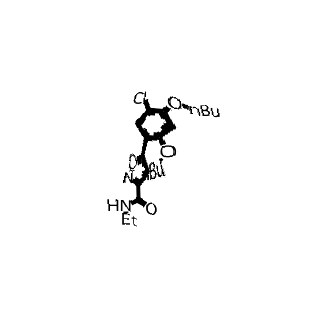 CCCCOc1cc(OCCCC)c(-c2cc(C(=O)NCC)no2)cc1Cl